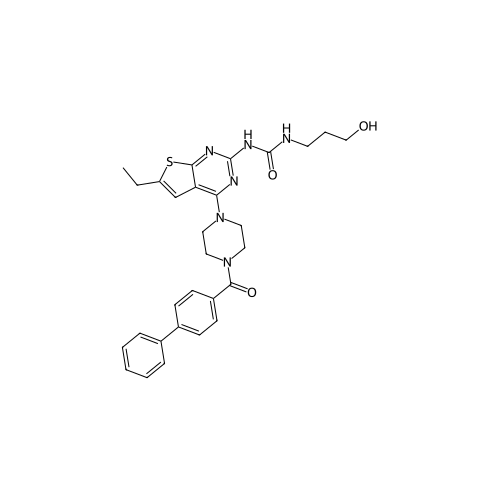 CCc1cc2c(N3CCN(C(=O)c4ccc(-c5ccccc5)cc4)CC3)nc(NC(=O)NCCCO)nc2s1